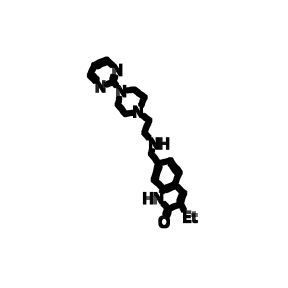 CCc1cc2ccc(CNCCN3CCN(c4ncccn4)CC3)cc2[nH]c1=O